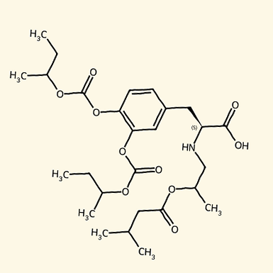 CCC(C)OC(=O)Oc1ccc(C[C@H](NCC(C)OC(=O)CC(C)C)C(=O)O)cc1OC(=O)OC(C)CC